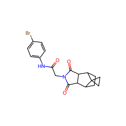 O=C(CN1C(=O)C2C(C1=O)C1CCC2C12CC2)Nc1ccc(Br)cc1